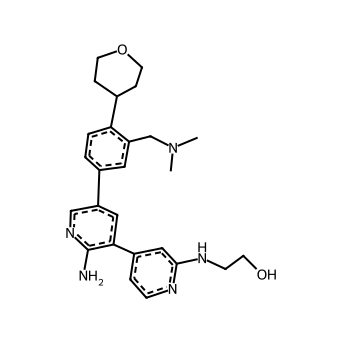 CN(C)Cc1cc(-c2cnc(N)c(-c3ccnc(NCCO)c3)c2)ccc1C1CCOCC1